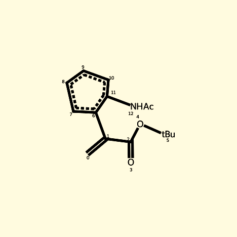 C=C(C(=O)OC(C)(C)C)c1ccccc1NC(C)=O